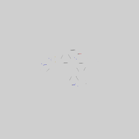 COc1ccc(-c2cc(F)cnc2OC)cc1-n1c(=O)ccc2cc(S(=O)(=O)Nc3ccon3)ccc21